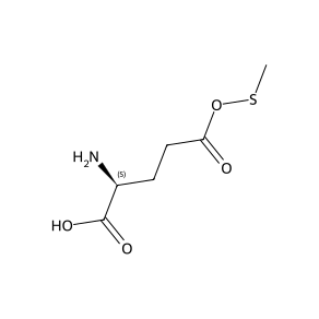 CSOC(=O)CC[C@H](N)C(=O)O